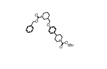 CC(C)(C)OC(=O)N1CCC(c2ccc(OCC3CCCN(C(=O)OCc4ccccc4)C3)cc2)CC1